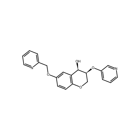 O[C@@H]1c2cc(OCc3ccccn3)ccc2OC[C@@H]1Oc1cccnc1